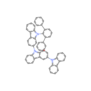 c1ccc(-c2cccc(-c3ccccc3)c2-n2c3ccccc3c3ccc(-n4c5ccccc5c5cc(-n6c7ccccc7c7ccccc76)ccc54)cc32)cc1